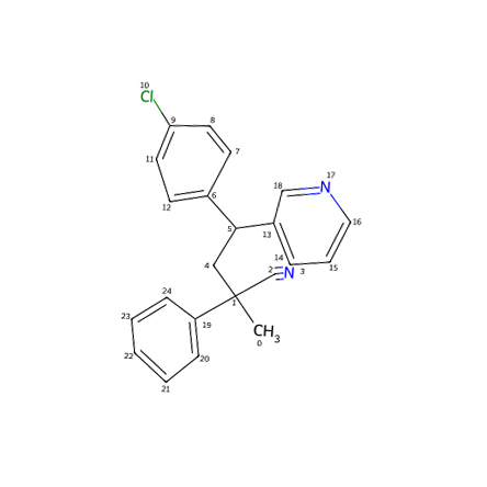 CC(C#N)(CC(c1ccc(Cl)cc1)c1cccnc1)c1ccccc1